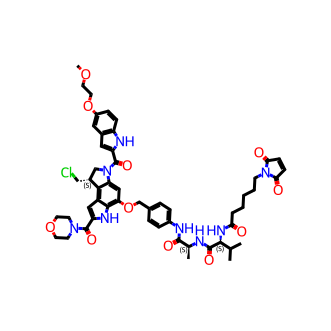 COCCOc1ccc2[nH]c(C(=O)N3C[C@@H](CCl)c4c3cc(OCc3ccc(NC(=O)[C@H](C)NC(=O)[C@@H](NC(=O)CCCCCN5C(=O)C=CC5=O)C(C)C)cc3)c3[nH]c(C(=O)N5CCOCC5)cc43)cc2c1